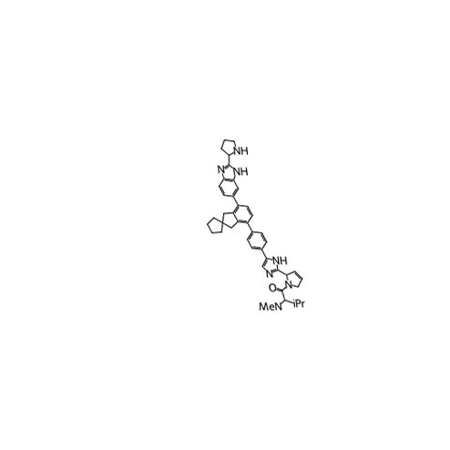 CNC(C(=O)N1CC=CC1c1ncc(-c2ccc(-c3ccc(-c4ccc5nc(C6CCCN6)[nH]c5c4)c4c3CC3(CCCC3)C4)cc2)[nH]1)C(C)C